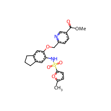 COC(=O)c1ccc(COc2cc3c(cc2NS(=O)(=O)c2ccc(C)o2)CCC3)nc1